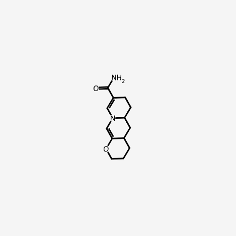 NC(=O)C1=CN2C=C3OCCCC3CC2CC1